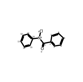 O=C(c1cc[c]cc1)N(Cl)c1ccccc1